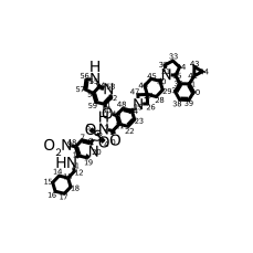 O=C(NS(=O)(=O)c1cc([N+](=O)[O-])c(NCC2CCCCC2)cn1)c1ccc(N2CC3(CCC(N4CCCC4c4ccccc4C4CC4)CC3)C2)cc1Oc1cnc2[nH]ccc2c1